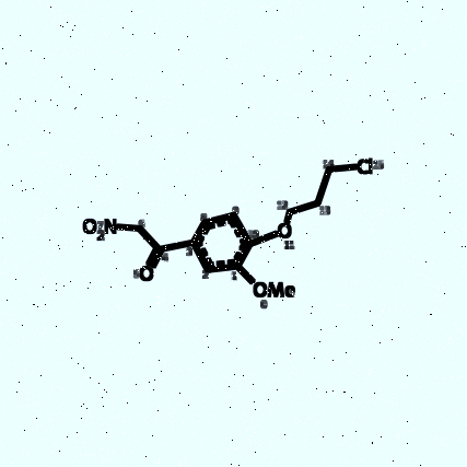 COc1cc(C(=O)C[N+](=O)[O-])ccc1OCCCCl